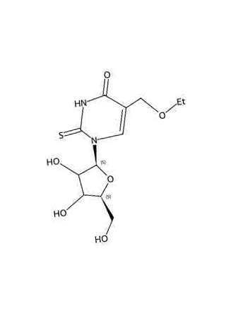 CCOCc1cn([C@H]2O[C@@H](CO)C(O)C2O)c(=S)[nH]c1=O